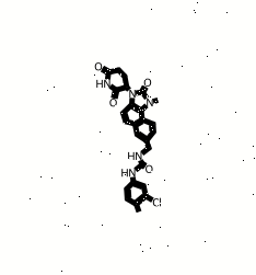 Cc1ccc(NC(=O)NCc2ccc3c(ccc4c3n(C)c(=O)n4C3CCC(=O)NC3=O)c2)cc1Cl